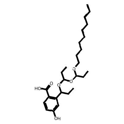 CCCCCCCCCCOC(CC)OC(CC)OC(CC)c1cc(O)ccc1C(=O)O